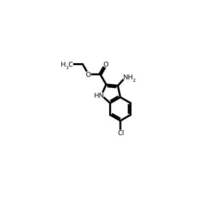 CCOC(=O)c1[nH]c2cc(Cl)ccc2c1N